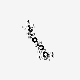 CC1(C)CC(C)(Oc2ccc(C(=O)Nc3ccc(NC(=O)Nc4cc(C(C)(C)C)on4)cc3)nc2)CC(C)(C)N1